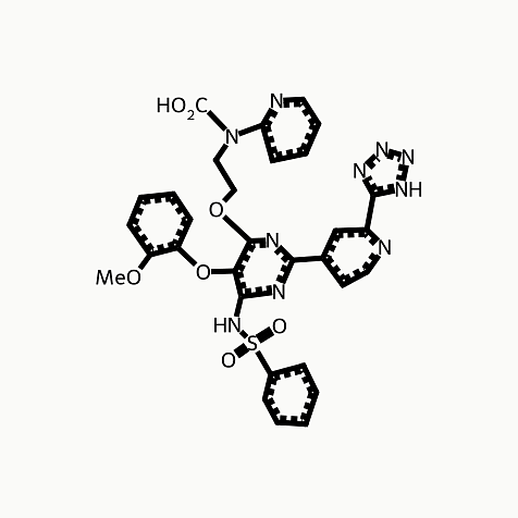 COc1ccccc1Oc1c(NS(=O)(=O)c2ccccc2)nc(-c2ccnc(-c3nnn[nH]3)c2)nc1OCCN(C(=O)O)c1ccccn1